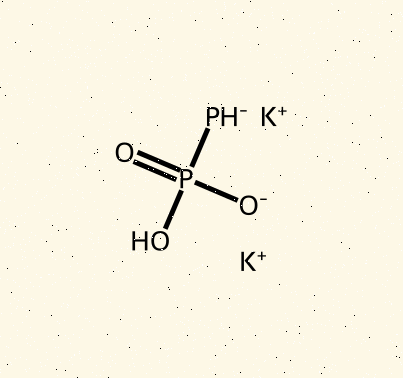 O=P([O-])(O)[PH-].[K+].[K+]